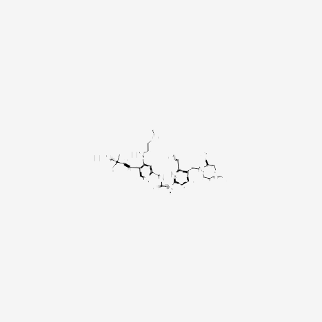 COCCNc1cc(NC(=O)N(C)c2ccc(CN3CCN(C)CC3=O)c(C=O)n2)ncc1C#CC(C)(C)N